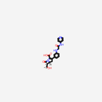 C[C@@H](O)[C@H]1C(=O)N2C(C(=O)O)=C(c3cccc(NCC(=O)Nc4ccncc4)c3)C[C@H]12